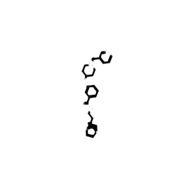 CC1(CCNC(=O)c2cccc(OC3CCN(C(=O)c4cccnc4)CC3)c2)CC2C=CC1C2